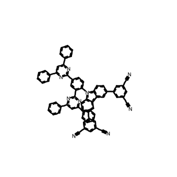 N#Cc1cc(C#N)cc(-c2ccc3c(c2)c2cc(-c4cc(C#N)cc(C#N)c4)ccc2n3-c2ccc(-c3nc(-c4ccccc4)cc(-c4ccccc4)n3)cc2-c2nc(-c3ccccc3)cc(-c3ccccc3)n2)c1